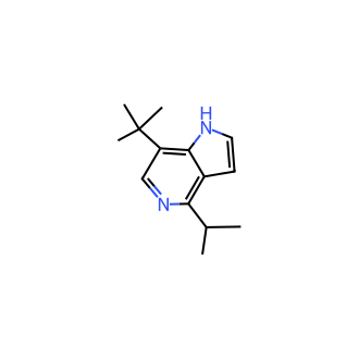 CC(C)c1ncc(C(C)(C)C)c2[nH]ccc12